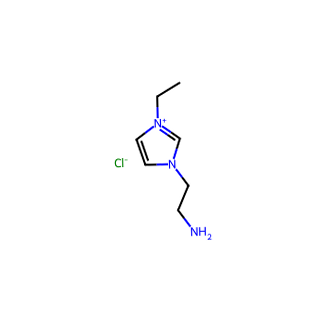 CC[n+]1ccn(CCN)c1.[Cl-]